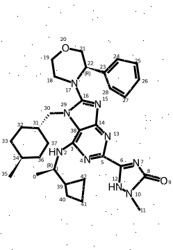 C[C@@H](Nc1nc(-c2nc(=O)n(C)[nH]2)nc2nc(N3CCOC[C@H]3c3ccccc3)n(C[C@H]3CC[C@H](C)CC3)c12)C1CCC1